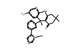 CC(C)n1cncc1-c1cccc([C@@]2(C)C3=C(CC(C)(C)CC3=O)Nc3ncc(C(F)(F)F)cc32)c1